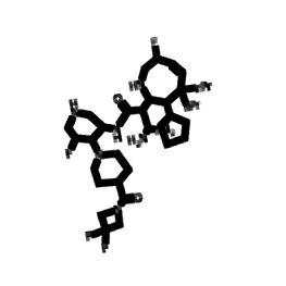 CCCC1(CCC)/C=C\C(F)CNC(C(C(=O)NC2CNCC(F)C2N2CCC(C(=O)N3CC(F)(F)C3)CC2)C(N)N)C1C1CCCC1